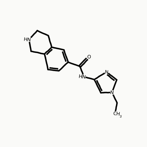 CCn1cnc(NC(=O)c2ccc3c(c2)CCNC3)c1